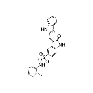 Cc1ccccc1NOS(=O)(=O)c1ccc2c(c1)C(=Cc1nc3ccccc3[nH]1)C(=O)N2